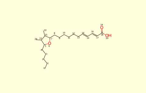 CCCCCC1OC(CCCCCC/C=C/C=C/C(=O)O)C(C)C1C